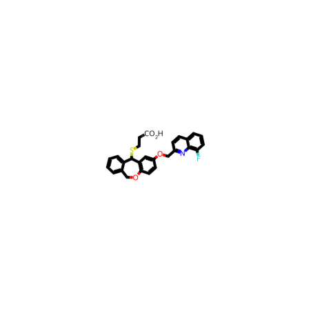 O=C(O)CCSC1c2ccccc2COc2ccc(OCc3ccc4cccc(F)c4n3)cc21